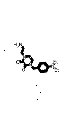 CCN(CC)c1ccc(CN2CCN(CCN)C(=O)C2=O)cc1